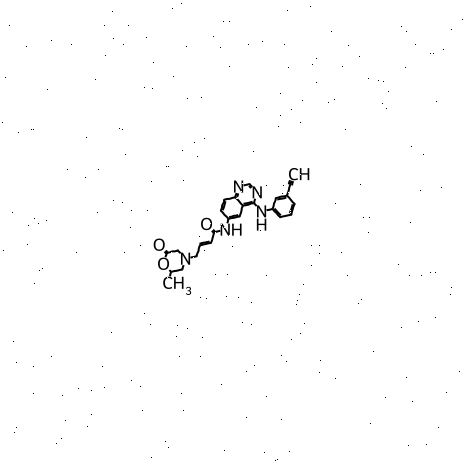 C#Cc1cccc(Nc2ncnc3ccc(NC(=O)C=CCN4CC(=O)OC(C)C4)cc23)c1